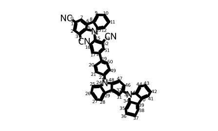 N#Cc1cc(C#N)c2c(c1)c1ccccc1n2-c1ccc(-c2ccc(-n3c4ccccc4c4cc(-n5c6ccccc6c6ccccc65)ccc43)cc2)cc1C#N